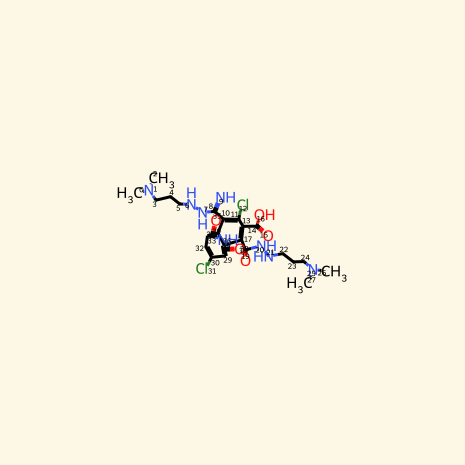 CN(C)CCCNNC(=N)c1c(Cl)c(C(=O)O)c(C(=O)NNCCCN(C)C)c2c3c(Cl)cc(c(=O)[nH]c3=O)c12